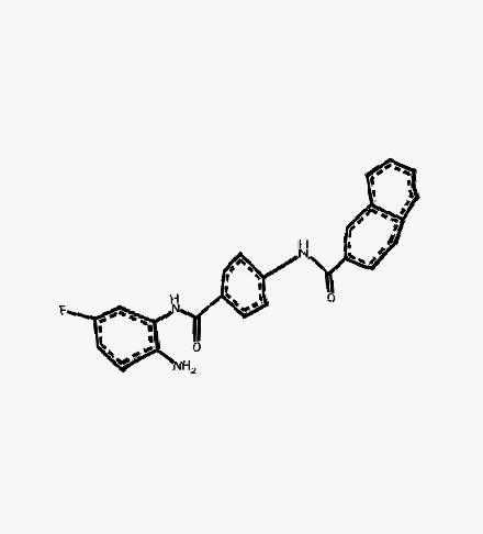 Nc1ccc(F)cc1NC(=O)c1ccc(NC(=O)c2ccc3ccccc3c2)cc1